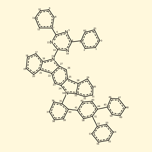 c1ccc(-c2nc(-c3ccccc3)nc(-n3c4ccccc4c4cc5c(cc43)c3ccccc3n5-c3ccccc3-c3ccc(-c4ccccc4)c(-c4ccccc4)c3)n2)cc1